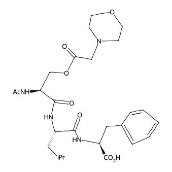 CC(=O)N[C@@H](COC(=O)CN1CCOCC1)C(=O)N[C@@H](CC(C)C)C(=O)N[C@@H](Cc1ccccc1)C(=O)O